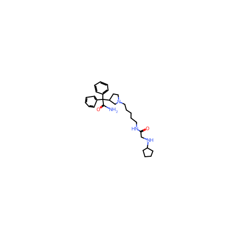 NC(=O)C(c1ccccc1)(c1ccccc1)C1CCN(CCCCCNC(=O)CNC2CCCC2)C1